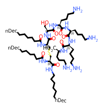 CCCCCCCCCCCCCCCCNC(=O)[C@H](CSC[C@H](NC(=O)CCCCCCCCCCCCCCC)C(=O)N[C@@H](CO)C(=O)N[C@@H](CCCCN)C(=O)N[C@@H](CCCCN)C(=O)N[C@@H](CCCCN)C(=O)N[C@@H](CCCCN)C(=O)O)NC(=O)CCCCCCCCCCCCCCC